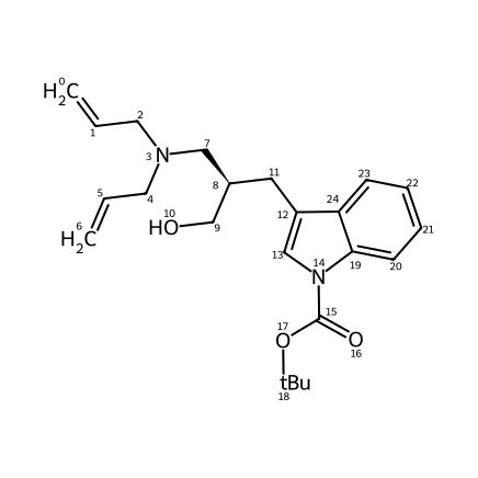 C=CCN(CC=C)C[C@H](CO)Cc1cn(C(=O)OC(C)(C)C)c2ccccc12